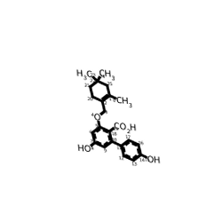 CC1=C(COc2cc(O)cc(-c3ccc(O)cc3)c2C(=O)O)CCC(C)(C)C1